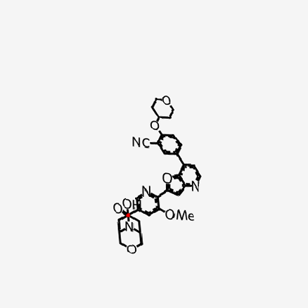 COc1cc(C(=O)N2C3COCC2CC(O)C3)cnc1-c1cc2nccc(-c3ccc(OC4CCOCC4)c(C#N)c3)c2o1